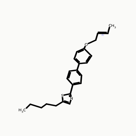 C/C=C/COc1ccc(-c2ccc(-c3ncc(CCCCC)s3)cc2)cc1